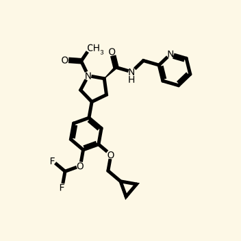 CC(=O)N1CC(c2ccc(OC(F)F)c(OCC3CC3)c2)C[C@@H]1C(=O)NCc1ccccn1